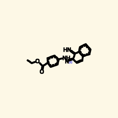 CCOC(=O)c1ccc(N/N=C2/C=Cc3ccccc3C2=N)cc1